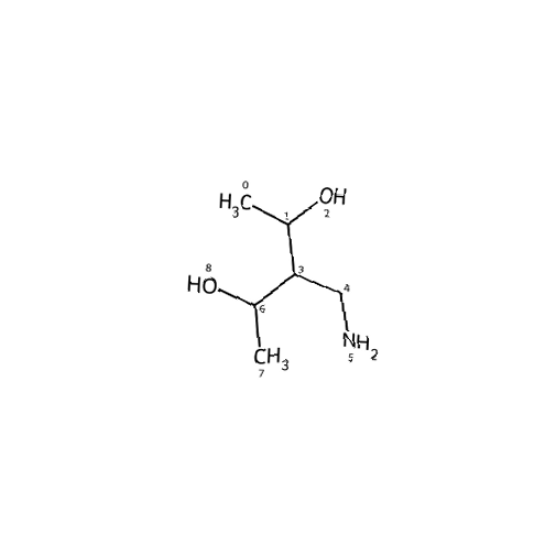 CC(O)C(CN)C(C)O